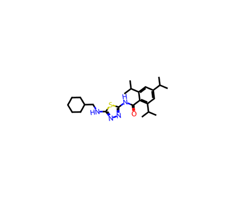 CC(C)c1cc(C(C)C)c(C(=O)Nc2nnc(NCC3CCCCC3)s2)c(C(C)C)c1